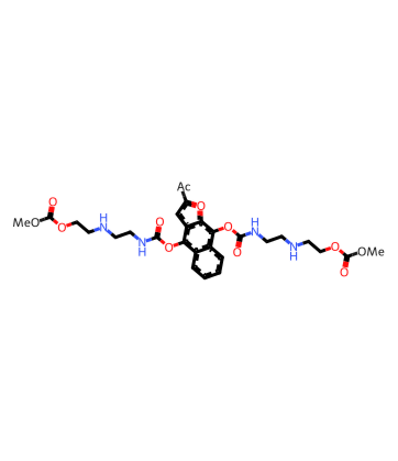 COC(=O)OCCNCCNC(=O)Oc1c2ccccc2c(OC(=O)NCCNCCOC(=O)OC)c2oc(C(C)=O)cc12